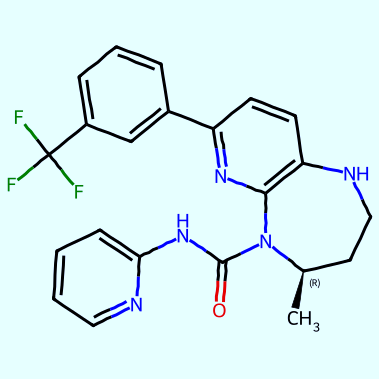 C[C@@H]1CCNc2ccc(-c3cccc(C(F)(F)F)c3)nc2N1C(=O)Nc1ccccn1